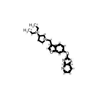 CCN(CC)C1CCN(Cc2coc3cc(Oc4nc5ncccc5s4)ccc23)C1